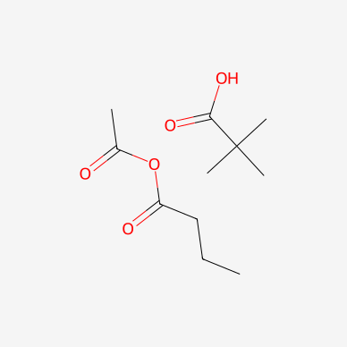 CC(C)(C)C(=O)O.CCCC(=O)OC(C)=O